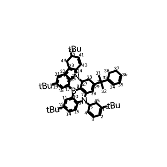 CC(C)(C)C1=CC=CC(N2C3=C4B(c5cc(C(C)(C)C)ccc52)c2cc(C(C)(C)C)cc5c6c(n(c25)C4CC(C(C)(C)C2=CC=CCC2)=C3)C=CC(C(C)(C)C)C6)C1